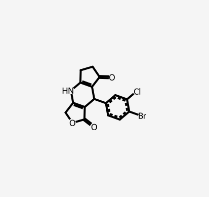 O=C1CCC2=C1C(c1ccc(Br)c(Cl)c1)C1=C(COC1=O)N2